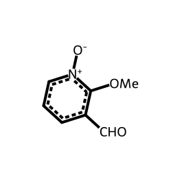 COc1c(C=O)ccc[n+]1[O-]